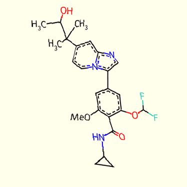 COc1cc(-c2cnc3cc(C(C)(C)C(C)O)ccn23)cc(OC(F)F)c1C(=O)NC1CC1